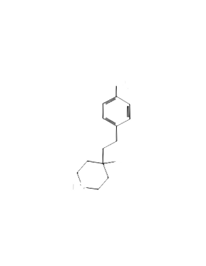 O=C(O)c1ccc(CCC2(O)CCNCC2)cc1